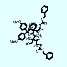 COc1ccc(C(OC(C(N)C(O)(CO)C(=O)[C@H](C)NC(=O)OCc2ccccc2)C(O)(CN)C(=O)[C@H](C)NC(=O)OCc2ccccc2)(c2ccccc2)c2ccc(OC)cc2)cc1